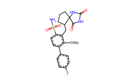 COc1c(-c2ccc(F)cc2)ccc(S(N)(=O)=O)c1CC1CCCC12NC(=O)NC2=O